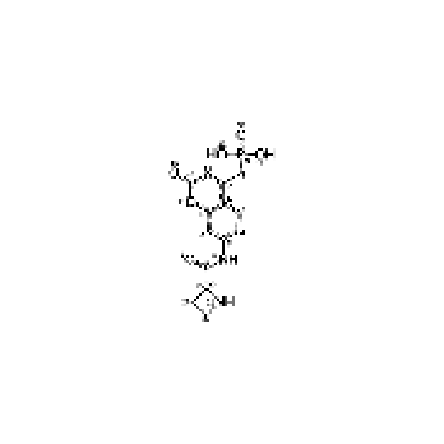 O=C(Nc1ccc2c(CP(=O)(O)O)cc(=O)oc2c1)[C@H]1CCN1